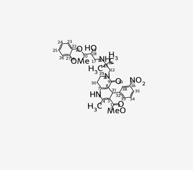 COC(=O)C1=C(C)NC2=C(C(=O)N(CC(C)(C)NCC(O)COc3ccccc3OC)CC2)C1c1cccc([N+](=O)[O-])c1